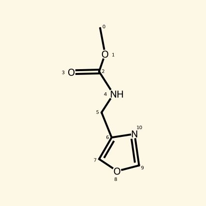 COC(=O)NCc1cocn1